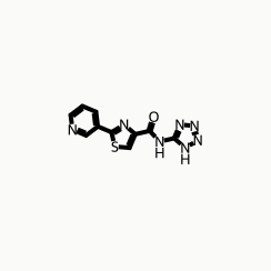 O=C(Nc1nnn[nH]1)c1csc(-c2cccnc2)n1